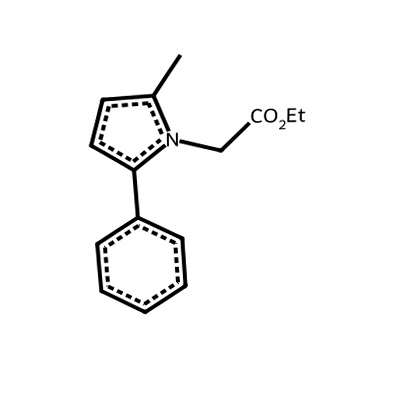 CCOC(=O)Cn1c(C)ccc1-c1ccccc1